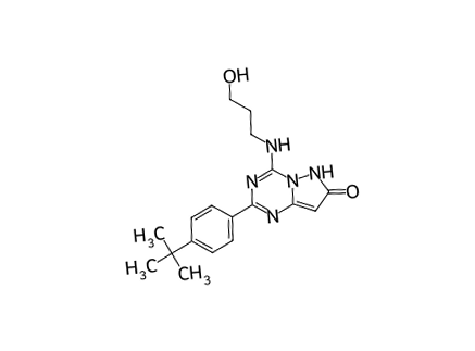 CC(C)(C)c1ccc(-c2nc(NCCCO)n3[nH]c(=O)cc3n2)cc1